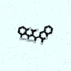 COc1cccc2oc(=O)c(C(=O)c3cc4ccccc4oc3=O)c(OC)c12